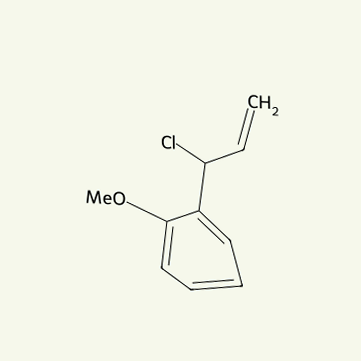 C=CC(Cl)c1ccccc1OC